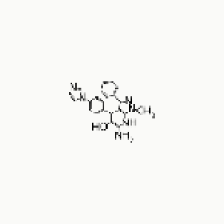 Cn1nc(-c2ccccc2)c2c1NC(N)=C(O)C2c1ccc(-n2ccnc2)cc1